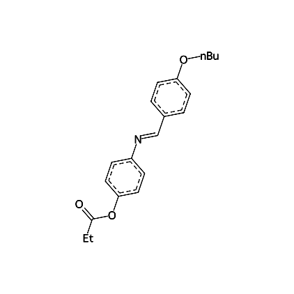 CCCCOc1ccc(C=Nc2ccc(OC(=O)CC)cc2)cc1